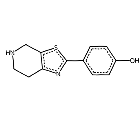 Oc1ccc(-c2nc3c(s2)CNCC3)cc1